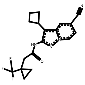 N#Cc1ccn2nc(NC(=O)CC3(C(F)(F)F)CC3)c(C3CCC3)c2c1